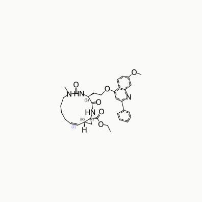 CCOC(=O)[C@@]12C[C@@H]1/C=C\CCCCN(C)C(=O)N[C@@H](CCOc1cc(-c3ccccc3)nc3cc(OC)ccc13)C(=O)N2